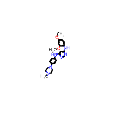 COc1ccc(Nc2cc(Nc3ccc(N4CCN(C)CC4)cc3)ncn2)c(OC)c1